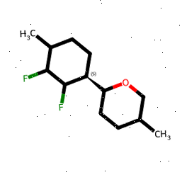 CC1CCC([C@@H]2CCC(C)C(F)C2F)OC1